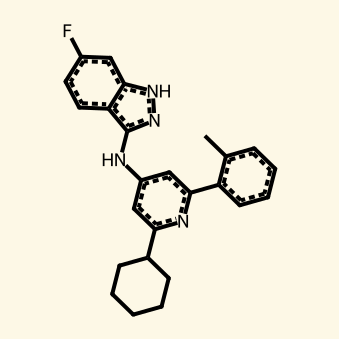 Cc1ccccc1-c1cc(Nc2n[nH]c3cc(F)ccc23)cc(C2CCCCC2)n1